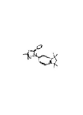 CC1=NN(c2ccc3c(c2)C(C)(C)CC3(C)C)C(=O)C1